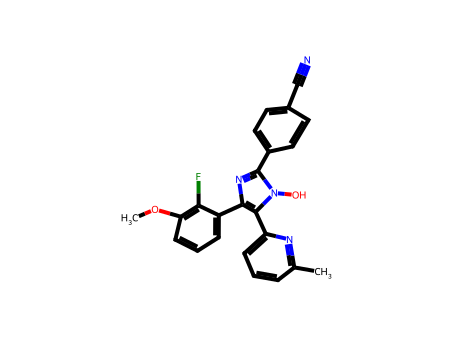 COc1cccc(-c2nc(-c3ccc(C#N)cc3)n(O)c2-c2cccc(C)n2)c1F